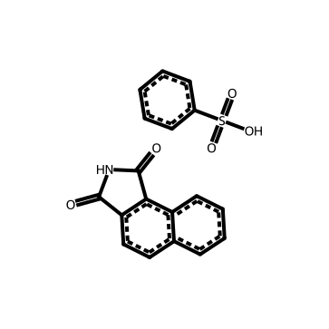 O=C1NC(=O)c2c1ccc1ccccc21.O=S(=O)(O)c1ccccc1